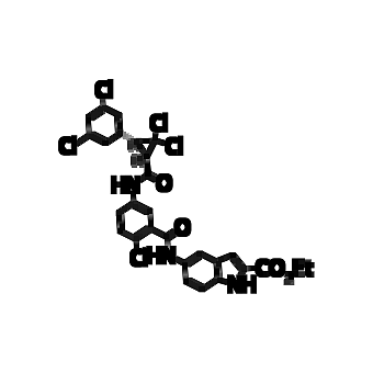 CCOC(=O)c1cc2cc(NC(=O)c3cc(NC(=O)[C@H]4[C@H](c5cc(Cl)cc(Cl)c5)C4(Cl)Cl)ccc3Cl)ccc2[nH]1